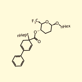 CCCCCCCC1(C(=O)O[C@H]2CC[C@H](OCCCCCC)O[C@@H]2C(F)(F)F)C=CC(c2ccccc2)=CC1